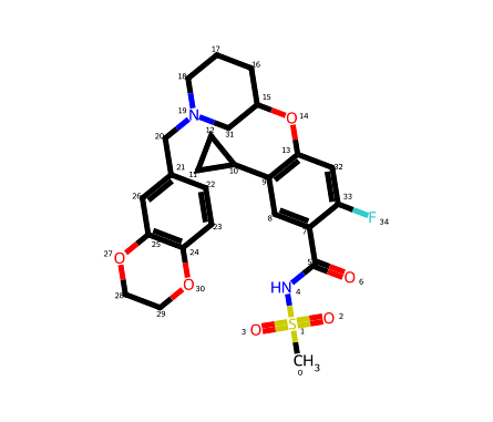 CS(=O)(=O)NC(=O)c1cc(C2CC2)c(OC2CCCN(Cc3ccc4c(c3)OCCO4)C2)cc1F